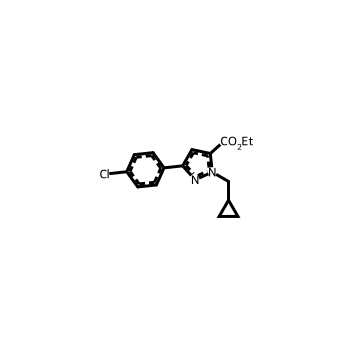 CCOC(=O)c1cc(-c2ccc(Cl)cc2)nn1CC1CC1